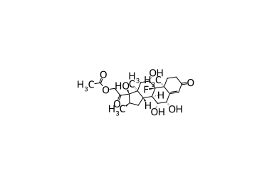 CC(=O)OCC(=O)[C@@]1(O)[C@H](C)C[C@H]2[C@@H]3[C@@H](O)[C@@H](O)C4=CC(=O)CC[C@]4(C)[C@@]3(F)[C@@H](O)C[C@@]21C